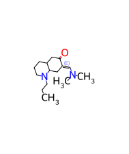 CCCN1CCCC2CC(=O)/C(=C/N(C)C)CC21